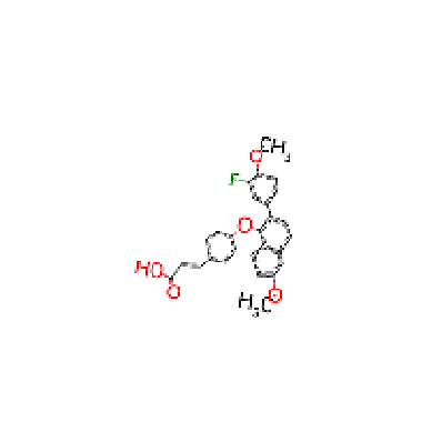 COc1ccc2c(Oc3ccc(C=CC(=O)O)cc3)c(-c3ccc(OC)c(F)c3)ccc2c1